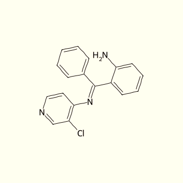 Nc1ccccc1C(=Nc1ccncc1Cl)c1ccccc1